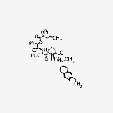 C=CCC(CCC)C(=O)OC(C(=O)NC(C)C(=O)N1CCCC(C(=O)N[C@H](C)c2ccc3cnc(C=C)cc3c2)N1)C(C)C